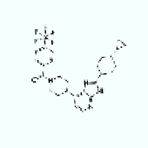 O=C(c1ccc(S(F)(F)(F)(F)F)cc1)N1CCC(c2ccnc3[nH]c(C4CCN(C5CC5)CC4)nc23)CC1